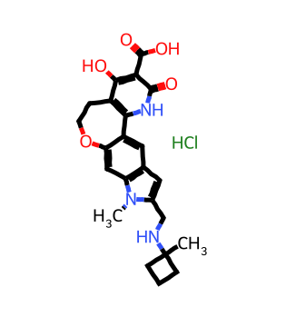 Cl.Cn1c(CNC2(C)CCC2)cc2cc3c(cc21)OCCc1c-3[nH]c(=O)c(C(=O)O)c1O